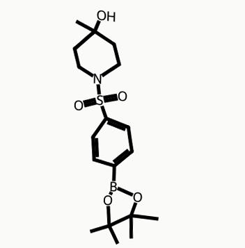 CC1(O)CCN(S(=O)(=O)c2ccc(B3OC(C)(C)C(C)(C)O3)cc2)CC1